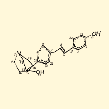 Oc1ccc(C=Cc2ccc(C3(O)CN4CCC3CC4)cc2)cc1